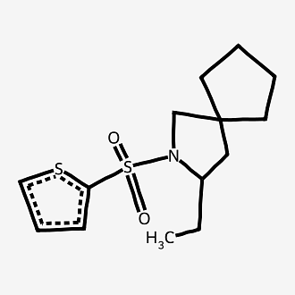 CCC1CC2(CCCC2)CN1S(=O)(=O)c1cccs1